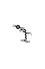 NC(CCCCB(O)O)C1CCN(C(=S)Nc2ccc(Cl)cc2)C1